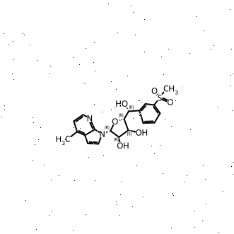 Cc1ccnc2c1ccn2[C@@H]1O[C@H]([C@H](O)c2cccc(S(C)(=O)=O)c2)[C@@H](O)[C@H]1O